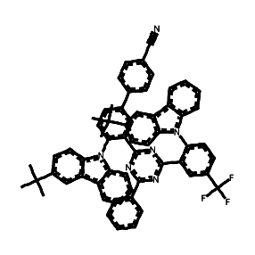 CC(C)(C)c1ccc2c(c1)c1ccccc1n2-c1ccc(-c2ccc(C#N)cc2)cc1-c1nc(-c2ccccc2)nc(-c2cc(C(F)(F)F)ccc2-n2c3ccccc3c3cc(C(C)(C)C)ccc32)n1